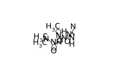 CC1CCN(c2cc(C3(NCCN(C)C)CCOCC3)ccc2NC(=O)c2nc(C#N)c[nH]2)CC1